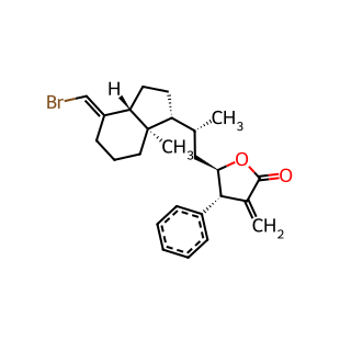 C=C1C(=O)O[C@H](C[C@@H](C)[C@H]2CC[C@H]3/C(=C/Br)CCC[C@]23C)[C@H]1c1ccccc1